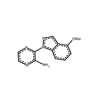 COc1cccc2c1cnn2-c1nccnc1N